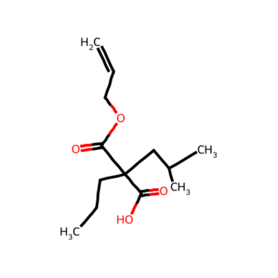 C=CCOC(=O)C(CCC)(CC(C)C)C(=O)O